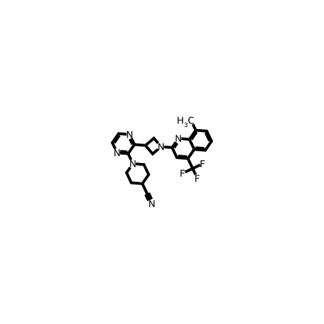 Cc1cccc2c(C(F)(F)F)cc(N3CC(c4nccnc4N4CCC(C#N)CC4)C3)nc12